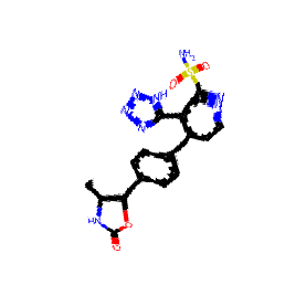 CC1NC(=O)OC1c1ccc(-c2ccnc(S(N)(=O)=O)c2-c2nnn[nH]2)cc1